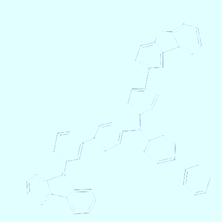 c1ccc(-c2ccc(N(c3ccc(-c4cccc(-n5c6ccccc6c6ccccc65)c4)cc3)c3ccc(-c4ccc5sc6ccccc6c5c4)cc3)cc2)cc1